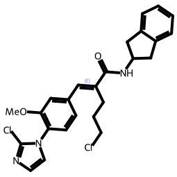 COc1cc(/C=C(\CCCCl)C(=O)NC2Cc3ccccc3C2)ccc1-n1ccnc1Cl